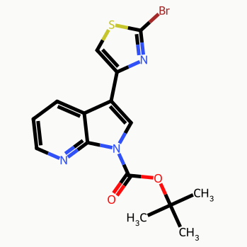 CC(C)(C)OC(=O)n1cc(-c2csc(Br)n2)c2cccnc21